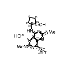 CCCNc1nc(NC)nc2c(N[C@H]3CCC[C@@H]3O)nc(NC)nc12.Cl